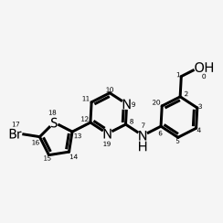 OCc1cccc(Nc2nccc(-c3ccc(Br)s3)n2)c1